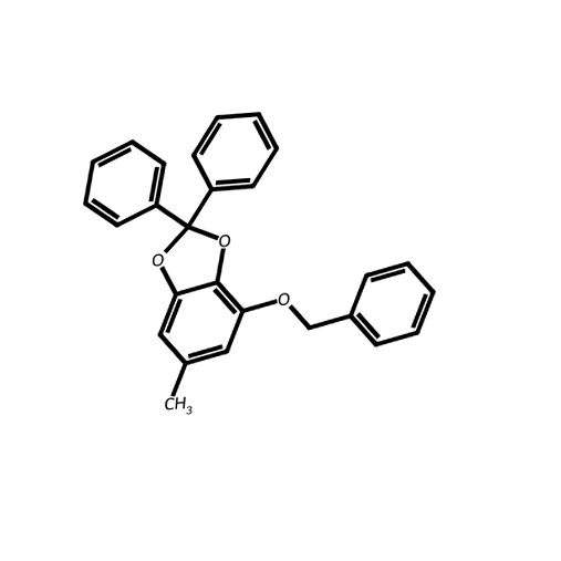 Cc1cc(OCc2ccccc2)c2c(c1)OC(c1ccccc1)(c1ccccc1)O2